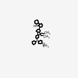 CCCC1(CCC)c2cc(-c3cccc4c3[nH]c3ccccc34)ccc2-c2ccc(N(c3ccccc3)c3ccc(OC)cc3)cc21